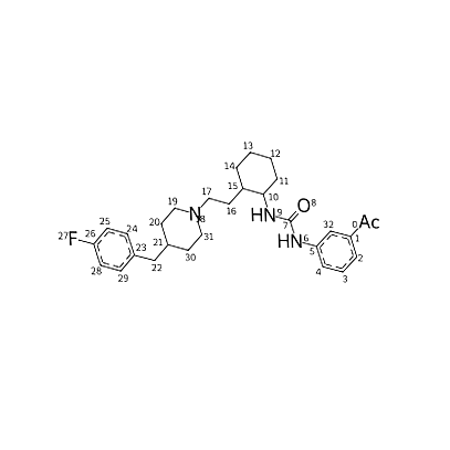 CC(=O)c1cccc(NC(=O)NC2CCCCC2CCN2CCC(Cc3ccc(F)cc3)CC2)c1